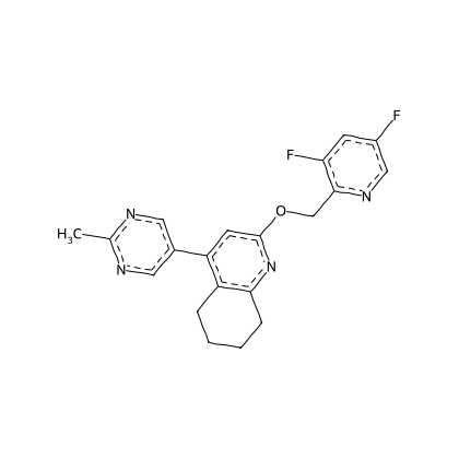 Cc1ncc(-c2cc(OCc3ncc(F)cc3F)nc3c2CCCC3)cn1